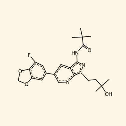 CC(C)(O)CCn1nc(NC(=O)C(C)(C)C)c2cc(-c3cc(F)c4c(c3)OCO4)cnc21